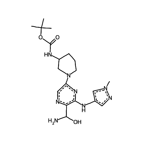 Cn1cc(Nc2nc(N3CCCC(NC(=O)OC(C)(C)C)C3)cnc2C(N)O)cn1